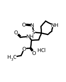 CCOC(=O)C(CC1(SN=O)CCNCC1)NC=O.Cl